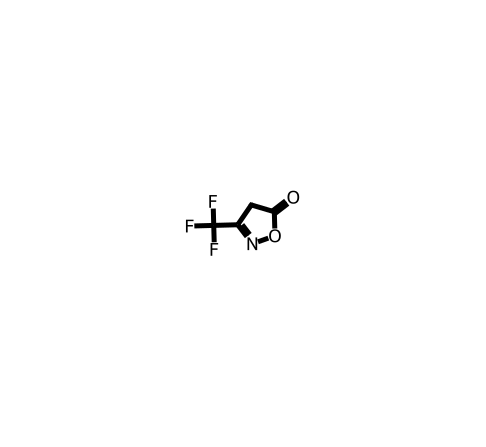 O=C1CC(C(F)(F)F)=NO1